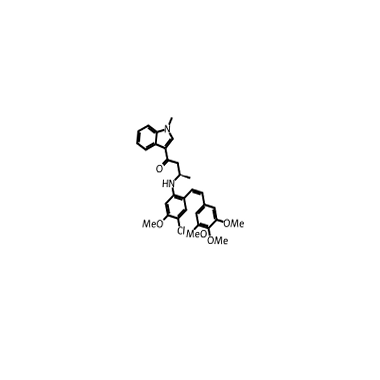 COc1cc(N[C@H](C)CC(=O)c2cn(C)c3ccccc23)c(/C=C\c2cc(OC)c(OC)c(OC)c2)cc1Cl